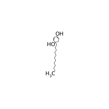 CCCCCCCCCCCCC1(O)C=CC(O)=CC1